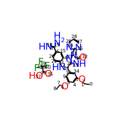 CCOc1cc(OCC)cc([C@H](Nc2ccc(C(=N)N)cc2)c2nn(-c3ncccn3)c(=O)[nH]2)c1.O=C(O)C(F)(F)F